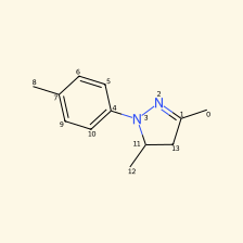 CC1=NN(c2ccc(C)cc2)C(C)C1